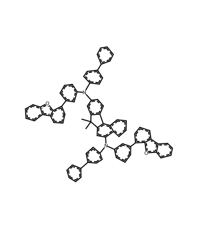 CC1(C)c2cc(N(c3ccc(-c4ccccc4)cc3)c3cccc(-c4cccc5c4oc4ccccc45)c3)ccc2-c2c1cc(N(c1ccc(-c3ccccc3)cc1)c1cccc(-c3cccc4c3oc3ccccc34)c1)c1ccccc21